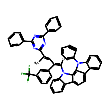 C/C(=C(\C=C(/C)c1nc(-c2ccccc2)nc(-c2ccccc2)n1)c1cccc(C(F)(F)F)c1)n1c2ccccc2c2ccc3c4ccccc4n(-c4c#cccc4)c3c21